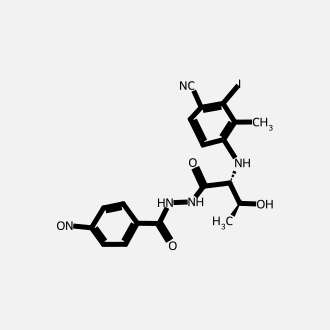 Cc1c(N[C@@H](C(=O)NNC(=O)c2ccc(N=O)cc2)[C@H](C)O)ccc(C#N)c1I